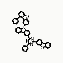 c1ccc(-c2nc(-c3ccc4c(c3)oc3ccccc34)nc(-c3ccc4c(c3)c3ccccc3n4-c3ccc4oc5cccc(-c6ccccc6)c5c4c3)n2)cc1